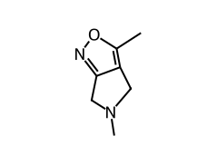 Cc1onc2c1CN(C)C2